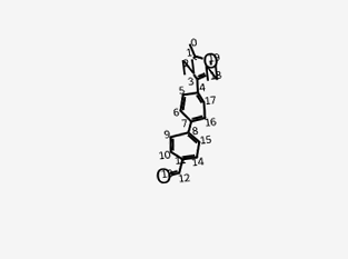 Cc1nc(-c2ccc(-c3ccc(C=O)cc3)cc2)no1